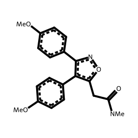 CNC(=O)Cc1onc(-c2ccc(OC)cc2)c1-c1ccc(OC)cc1